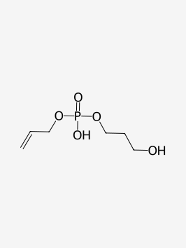 C=CCOP(=O)(O)OCCCO